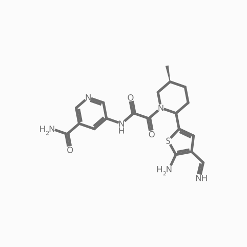 C[C@H]1CCC(c2cc(C=N)c(N)s2)N(C(=O)C(=O)Nc2cncc(C(N)=O)c2)C1